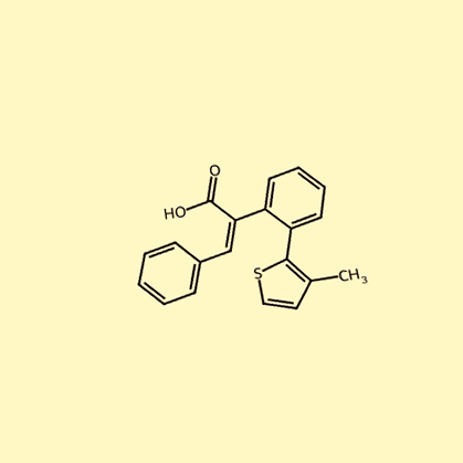 Cc1ccsc1-c1ccccc1C(=Cc1ccccc1)C(=O)O